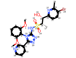 COc1cccc(OC)c1-n1c(NS(=O)(=O)[C@@H](C)[C@H](O)c2ccc(Br)c(C)n2)nnc1-c1cccnc1